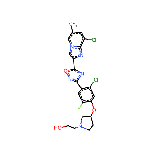 OCCN1CCC(Oc2cc(Cl)c(-c3noc(-c4cn5cc(C(F)(F)F)cc(Cl)c5n4)n3)cc2F)C1